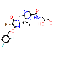 Cc1nc(OCc2ccc(F)cc2F)c(Br)c(=O)n1Cc1cnc(C(=O)NCC(O)CO)cn1